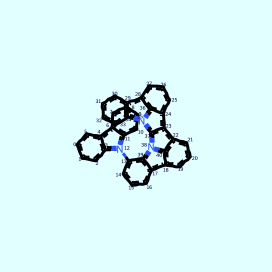 c1ccc2c(c1)c1ccccc1n2-c1cccc2c3cccc4c5c6cccc7c8ccccc8n(c76)c5n(c12)c34